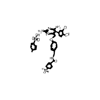 Cc1ccc(S(=O)(=O)O)cc1.Nc1nc(N)c(-c2ccc(Cl)c(Cl)c2)c(COc2ccc(CNC(=O)c3ccc(S(=O)(=O)F)cc3)cc2)n1